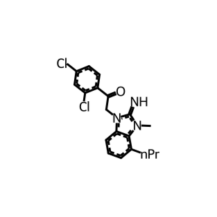 CCCc1cccc2c1n(C)c(=N)n2CC(=O)c1ccc(Cl)cc1Cl